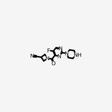 N#CC1CN(C(=O)c2nc(N3CCNCC3)ncc2F)C1